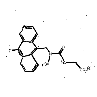 CCCCN(Cc1c2ccccc2c(Cl)c2ccccc12)C(=O)NCC(=O)OCC